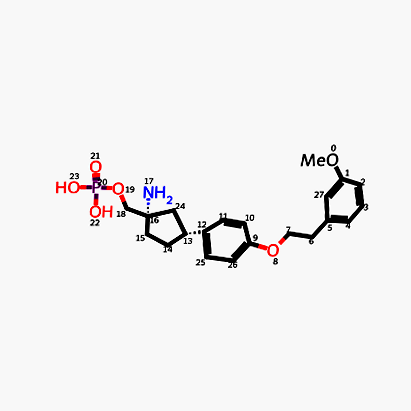 COc1cccc(CCOc2ccc([C@@H]3CC[C@@](N)(COP(=O)(O)O)C3)cc2)c1